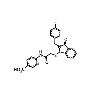 O=C(CSC1c2ccccc2C(=O)N1Cc1ccc(F)cc1)Nc1ccc(C(=O)O)cn1